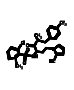 Cc1cccc(Cl)c1S(=O)(=O)NC(CCn1cccc1C#N)C(=O)N(C)Cc1ccc(C(F)(F)F)cc1